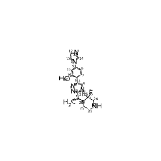 C=C(c1ncc(-c2ccc(-n3ccnc3)cc2O)nn1)[C@@H]1CCNCC1(F)F